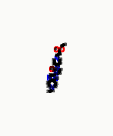 CCOC(=O)CCN1CCC(n2ccn(-c3cnc4c(n3)CCN(CC)CC4)c2=O)CC1